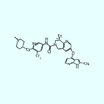 CC[C@@H]1CN(C(=O)Nc2cnc(OC3CCN(C)CC3)c(C(F)(F)F)c2)Cc2cc(Oc3ccnc4[nH]c(C#N)cc34)cnc21